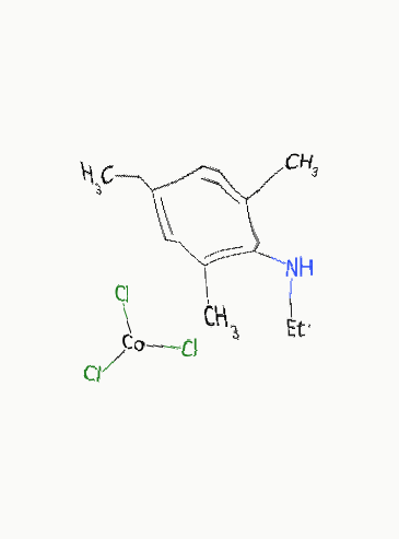 C[CH]Nc1c(C)cc(C)cc1C.[Cl][Co]([Cl])[Cl]